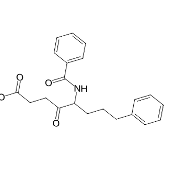 O=C(O)CCC(=O)C(CCCc1ccccc1)NC(=O)c1ccccc1